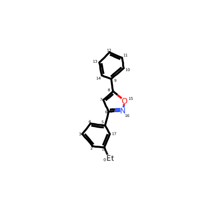 CCc1cccc(-c2cc(-c3ccccc3)on2)c1